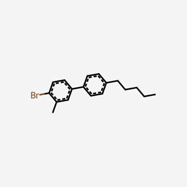 CCCCCc1ccc(-c2ccc(Br)c(C)c2)cc1